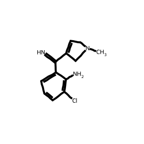 CN1CC=C(C(=N)c2cccc(Cl)c2N)C1